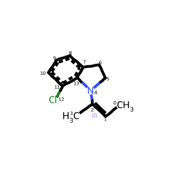 C/C=C(/C)N1CCc2cccc(Cl)c21